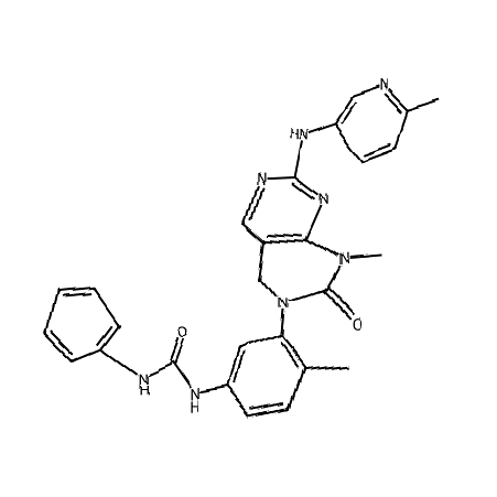 Cc1ccc(Nc2ncc3c(n2)N(C)C(=O)N(c2cc(NC(=O)Nc4ccccc4)ccc2C)C3)cn1